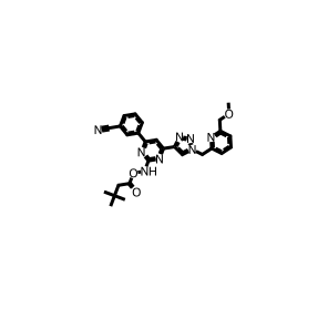 COCc1cccc(Cn2cc(-c3cc(-c4cccc(C#N)c4)nc(NOC(=O)CC(C)(C)C)n3)nn2)n1